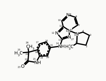 CC1CCCN1[N+]12C=CN=CC1=NC(Nc1ccc3c(c1)NC(=O)C3(C)C)=N2